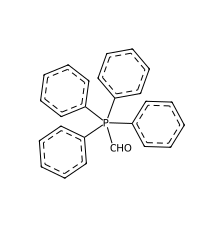 O=CP(c1ccccc1)(c1ccccc1)(c1ccccc1)c1ccccc1